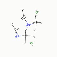 [CH3][Ga+][NH][Si](C)(C)C.[CH3][Ga+][NH][Si](C)(C)C.[Cl-].[Cl-]